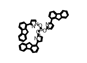 c1ccc2c(c1)Cc1c(-c3ccn(OB(On4ccc(-c5cccc6c5Cc5ccccc5-6)n4)On4ccc(-c5cccc6c5Cc5ccccc5-6)n4)n3)cccc1-2